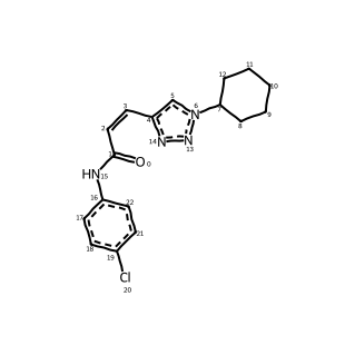 O=C(/C=C\c1cn(C2CCCCC2)nn1)Nc1ccc(Cl)cc1